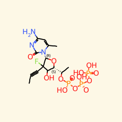 CC#CC1(F)C(O)[C@@H](C(C)OP(=O)(O)OP(=O)(O)OP(=O)(O)O)O[C@H]1n1c(C)cc(N)nc1=O